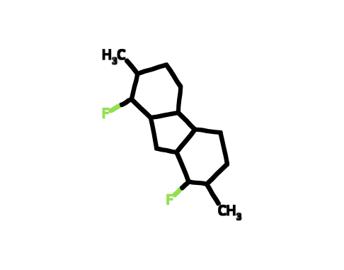 CC1CCC2C(CC3C(F)C(C)CCC32)C1F